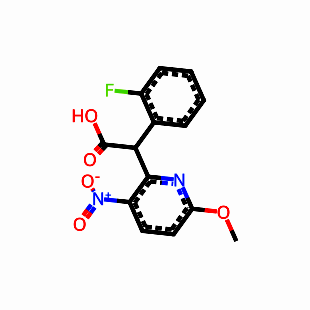 COc1ccc([N+](=O)[O-])c(C(C(=O)O)c2ccccc2F)n1